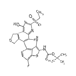 CCS(=O)(=O)c1nc(O)c2c3c(c(-c4ccc(F)c5sc(NC(=O)OC(C)(C)C)c(C#N)c45)c(F)c2n1)COC3